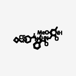 COc1cc(C)[nH]c(=O)c1CNC(=O)c1c(C)n([C@H](C)C2CCN(CC3(C(F)(F)F)CCC3)CC2)c2ccccc12